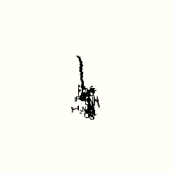 CCCCCCCCCCCCCCOc1c([C@@H]2[C@@H](C)[C@](C)(C(F)(F)F)O[C@H]2C(=O)NC2=CC(C(N)=O)[N+](=O)C=C2)ccc(F)c1F